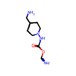 N=COC(=O)NN1CCC(CN)CC1